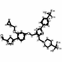 O=CC1=NN=C(c2ccc(OCc3sc(-c4ccc(C(F)(F)F)cc4)nc3CN3CCC(C(F)(F)F)CC3)cc2OCC2CC2)C1